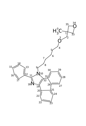 CC1(COCCCCCCn2c(-c3ccccc3)nc3c4ccccc4c4ccccc4c32)COC1